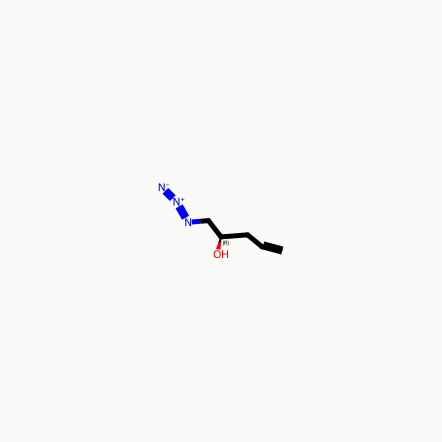 C=CC[C@@H](O)CN=[N+]=[N-]